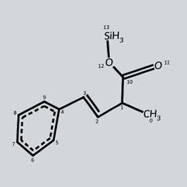 CC(C=Cc1ccccc1)C(=O)O[SiH3]